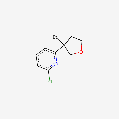 CCC1(c2cccc(Cl)n2)CCOC1